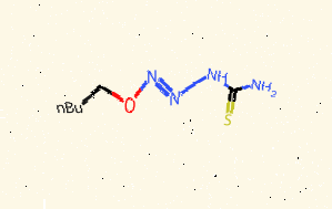 CCCCCON=NNC(N)=S